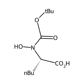 CCCC[C@@H](C(=O)O)N(O)C(=O)OC(C)(C)C